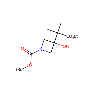 CCOC(=O)C(C)(C)C1(O)CN(C(=O)OC(C)(C)C)C1